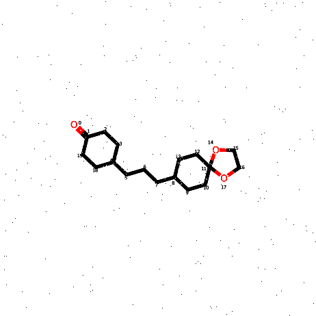 O=C1CCC(CCCC2CCC3(CC2)OCCO3)CC1